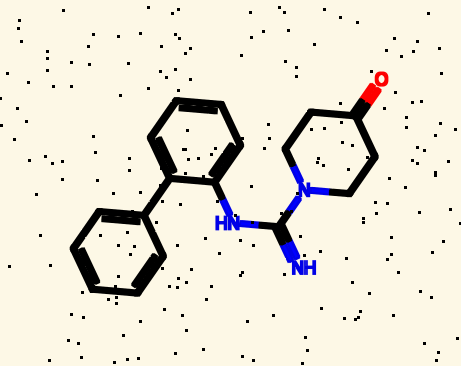 N=C(Nc1ccccc1-c1ccccc1)N1CCC(=O)CC1